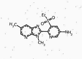 CCS(=O)(=O)c1cc(N)cnc1-c1nc2cc(C)cnc2n1C